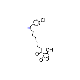 O=C(CCCCCCC/C=C\c1ccc(Cl)cc1)C1=C(O)COC1=O